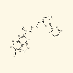 CCN(CCCCC(=O)c1cc2c3c(c1)CCN3C(=O)CC2)CCc1ccccc1